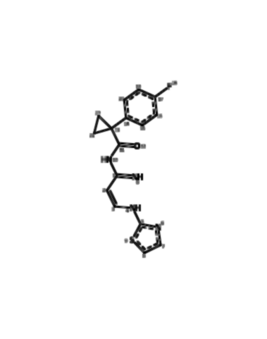 N=C(/C=C\Nc1nccs1)NC(=O)C1(c2ccc(F)cc2)CC1